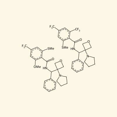 COc1cc(C(F)(F)F)cc(SC)c1C(=O)NC(c1ccccc1)C1(N2CCCC2)COC1.CSc1cc(C(F)(F)F)cc(C(F)(F)F)c1C(=O)NC(c1ccccc1)C1(N2CCCC2)COC1